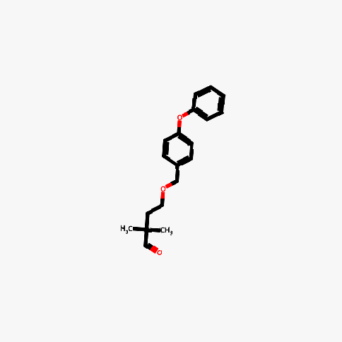 CC(C)(C=O)CCOCc1ccc(Oc2ccccc2)cc1